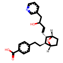 O=C(O)c1ccc(CC[C@H]2[C@H](/C=C/C(O)Cc3cccnc3)[C@@H]3CC[C@H]2O3)cc1